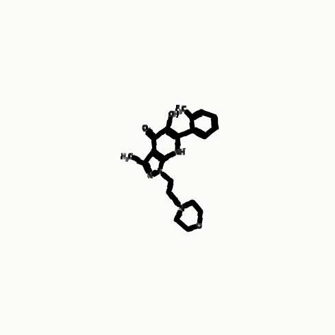 Cc1nn(CCN2CCOCC2)c2[nH]c(-c3ccccc3C(F)(F)F)c(O)c(=O)c12